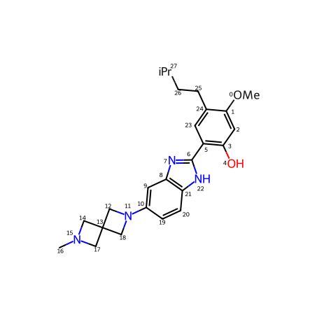 COc1cc(O)c(-c2nc3cc(N4CC5(CN(C)C5)C4)ccc3[nH]2)cc1CCC(C)C